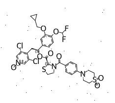 O=C(O[C@@H](Cc1c(Cl)c[n+]([O-])cc1Cl)c1ccc(OC(F)F)c(OCC2CC2)c1)[C@@H]1SCCN1C(=O)c1ccc(N2CCS(=O)(=O)CC2)cc1